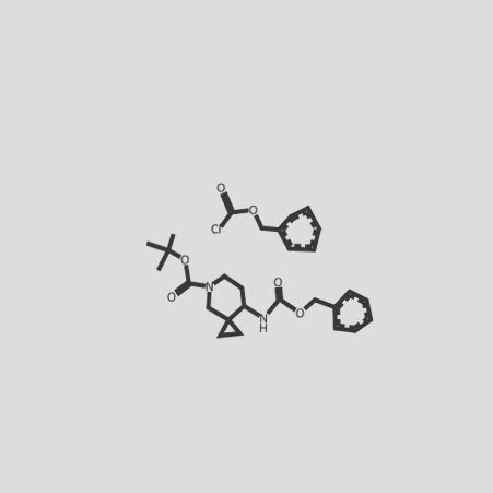 CC(C)(C)OC(=O)N1CCC(NC(=O)OCc2ccccc2)C2(CC2)C1.O=C(Cl)OCc1ccccc1